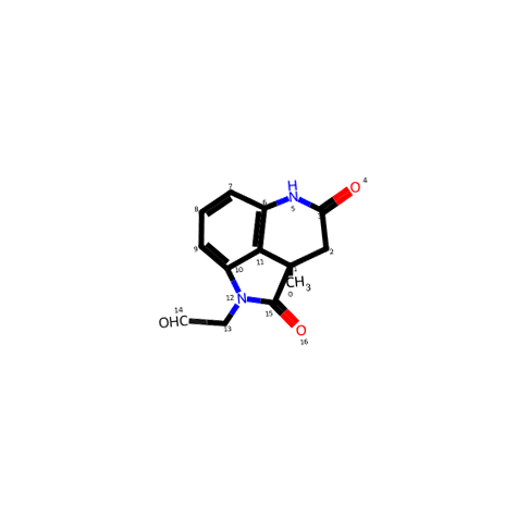 CC12CC(=O)Nc3cccc(c31)N(CC=O)C2=O